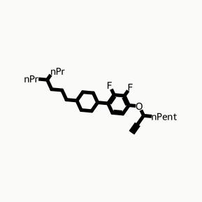 C#CC(CCCCC)Oc1ccc(C2CCC(CCCC(CCC)CCC)CC2)c(F)c1F